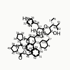 CC[C@@H](C[C@H](O)[C@H](CC1CCCCC1)NC(=O)[C@H](Cc1c[nH]cn1)NC(=O)C(CC(=O)N1CCC[C@@H]1C(=O)N1CCC[C@H]1C(=O)OCc1ccccc1)Cc1ccccc1)C(C)C